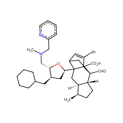 CC(C)C1=CC2CC3(C=O)[C@@H]4CC[C@@H](C)[C@H]4CC2([C@H]2C[C@@H](CC4CCCCC4)[C@H](CN(C)Cc4ccccn4)O2)C13C(=O)O